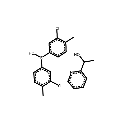 CC(O)c1ccccn1.Cc1ccc(B(O)c2ccc(C)c(Cl)c2)cc1Cl